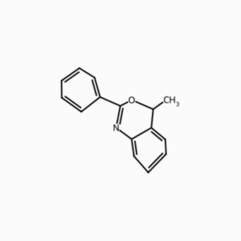 CC1OC(c2ccccc2)=Nc2ccccc21